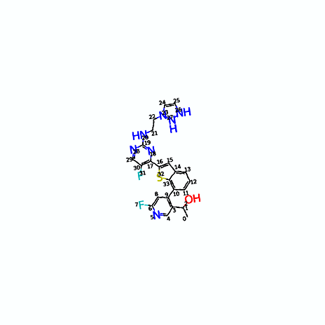 CC(O)c1cnc(F)cc1-c1cccc2cc(-c3nc(NCCN4C=CNN4)ncc3F)sc12